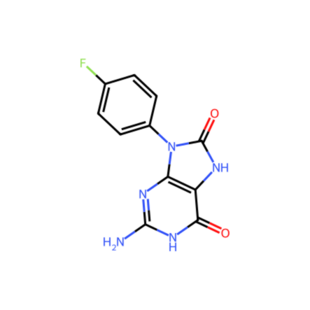 Nc1nc2c([nH]c(=O)n2-c2ccc(F)cc2)c(=O)[nH]1